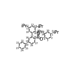 CC(C)c1ccc(OP(Oc2ccc(C(C)C)cc2C(C)C)c2ccc(-c3ccccc3)cc2)c(C(C)C)c1